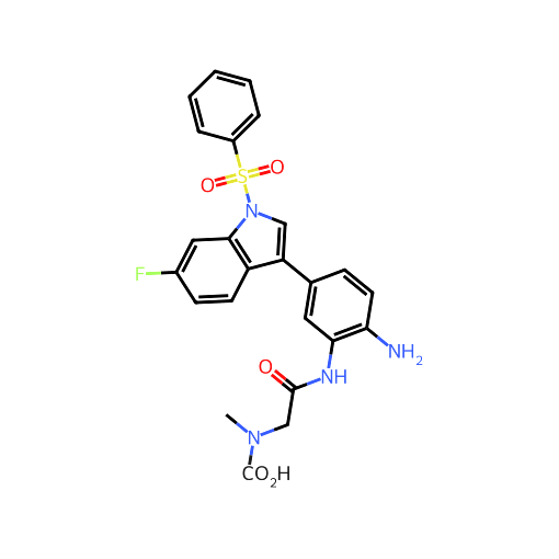 CN(CC(=O)Nc1cc(-c2cn(S(=O)(=O)c3ccccc3)c3cc(F)ccc23)ccc1N)C(=O)O